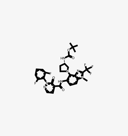 Cn1c(C(F)(F)F)nc2c(N3CC[C@H](NC(=O)OC(C)(C)C)C3)c(NC(=O)c3ccnn(-c4c(F)cccc4F)c3=O)ccc21